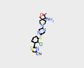 C[C@@H]1OCC2(CCN(c3cnc(Sc4cccc(-c5nc(C#N)cs5)c4Cl)cn3)CC2)[C@@H]1N